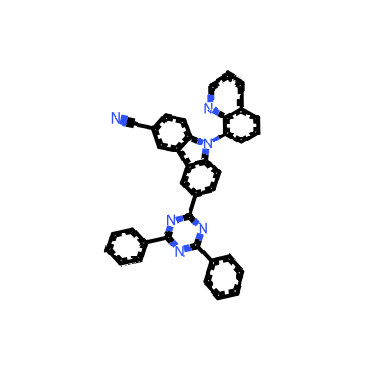 N#Cc1ccc2c(c1)c1cc(-c3nc(-c4ccccc4)nc(-c4ccccc4)n3)ccc1n2-c1cccc2cccnc12